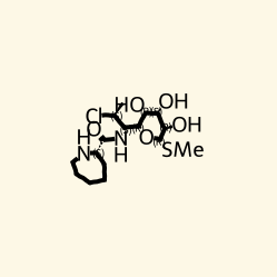 CS[C@H]1O[C@H]([C@H](NC(=O)[C@@H]2CCCCCN2)[C@H](C)Cl)[C@H](O)[C@H](O)[C@H]1O